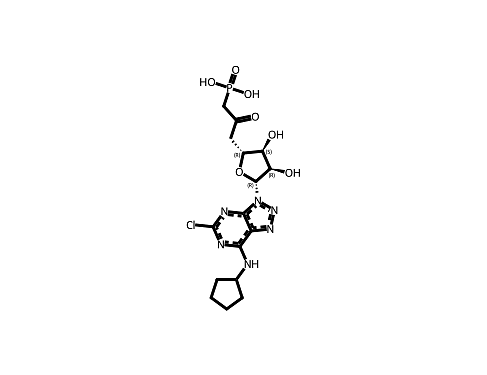 O=C(C[C@H]1O[C@@H](n2nnc3c(NC4CCCC4)nc(Cl)nc32)[C@H](O)[C@@H]1O)CP(=O)(O)O